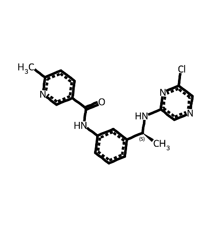 Cc1ccc(C(=O)Nc2cccc([C@H](C)Nc3cncc(Cl)n3)c2)cn1